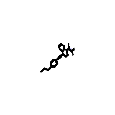 CCCc1ccc(C#Cc2ccc(/C(F)=C(\F)I)c3ccccc23)cc1